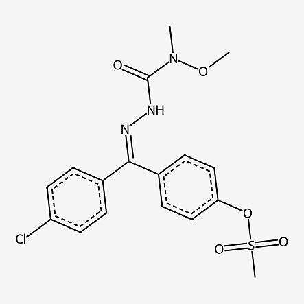 CON(C)C(=O)NN=C(c1ccc(Cl)cc1)c1ccc(OS(C)(=O)=O)cc1